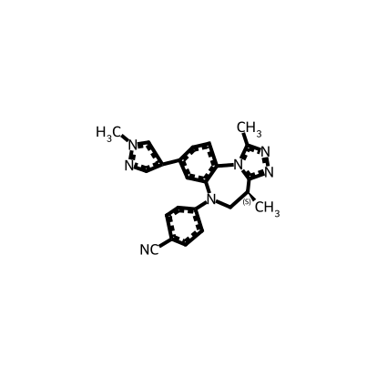 Cc1nnc2n1-c1ccc(-c3cnn(C)c3)cc1N(c1ccc(C#N)cc1)C[C@@H]2C